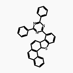 C1=CC2c3c(cccc3-c3nc(-c4ccccc4)nc(-c4ccccc4)n3)SC2c2c1ccc1ccccc21